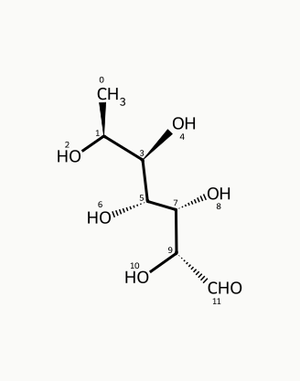 C[C@H](O)[C@@H](O)[C@@H](O)[C@H](O)[C@@H](O)C=O